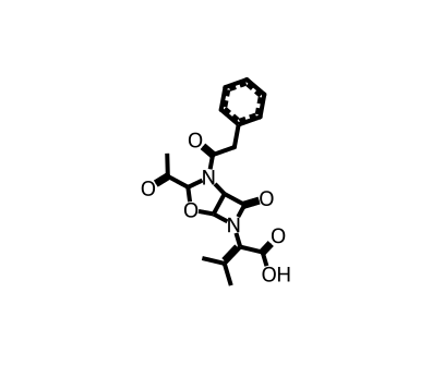 CC(=O)C1OC2C(C(=O)N2C(C(=O)O)=C(C)C)N1C(=O)Cc1ccccc1